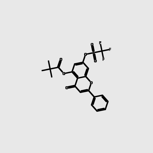 CC(C)(C)C(=O)Oc1cc(OS(=O)(=O)C(F)(F)F)cc2oc(-c3ccccc3)cc(=O)c12